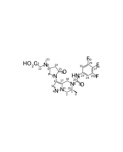 C[C@H]1Cn2ncc(N3CC(N(C)CC(=O)O)CC3=O)c2CN1C(=O)Nc1cc(F)c(F)c(F)c1